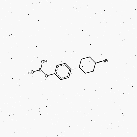 CCC[C@H]1CC[C@H](c2ccc(OB(O)O)cc2)CC1